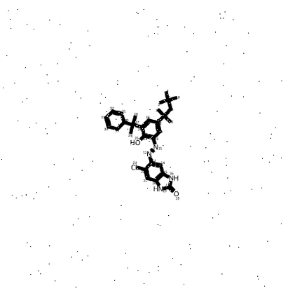 CC(C)(C)CC(C)(C)c1cc(N=Nc2cc3[nH]c(=O)[nH]c3cc2Cl)c(O)c(C(C)(C)C2C=CC=CC2)c1